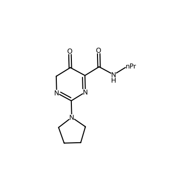 CCCNC(=O)C1=NC(N2CCCC2)=NCC1=O